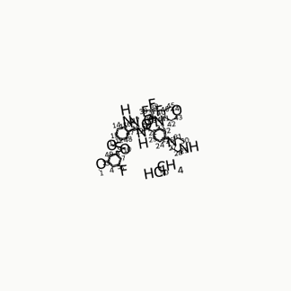 C.COc1cc(F)cc(S(=O)(=O)c2ccc3[nH]nc(NC(=O)c4ccc(N5CCNCC5)cc4N(C(=O)C(F)(F)F)C4CCOCC4)c3c2)c1.Cl